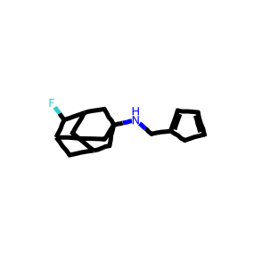 FC1C2CC3CC1CC(NCC1=CC=CC1)(C3)C2